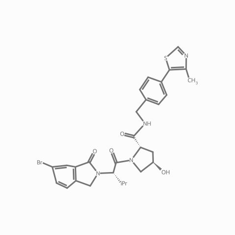 Cc1ncsc1-c1ccc(CNC(=O)[C@@H]2C[C@@H](O)CN2C(=O)[C@H](C(C)C)N2Cc3ccc(Br)cc3C2=O)cc1